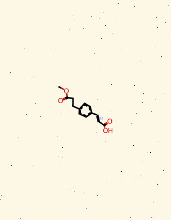 COC(=O)CCc1ccc(/C=C/C(=O)O)cc1